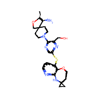 C[C@@H]1OCC2(CCN(c3ncc(Sc4ccnc5c4OCCC4(CC4)N5)nc3CO)CC2)[C@@H]1N